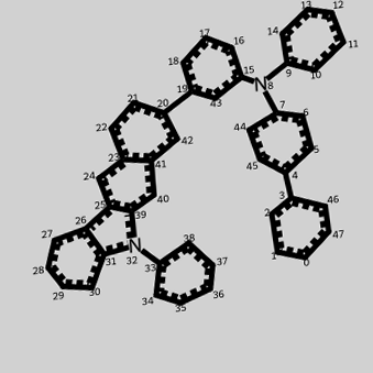 c1ccc(-c2ccc(N(c3ccccc3)c3cccc(-c4ccc5cc6c7ccccc7n(-c7ccccc7)c6cc5c4)c3)cc2)cc1